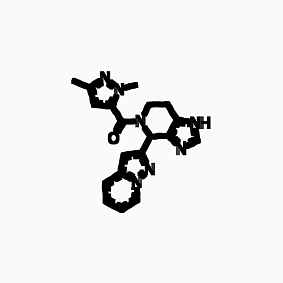 Cc1cc(C(=O)N2CCc3[nH]cnc3C2c2cc3ccccn3n2)n(C)n1